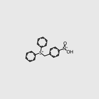 O=[N+](O)c1ccc(C[S+](c2ccccc2)c2ccccc2)cc1